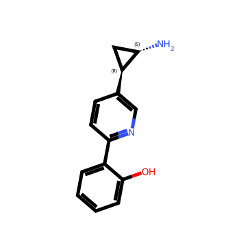 N[C@H]1C[C@@H]1c1ccc(-c2ccccc2O)nc1